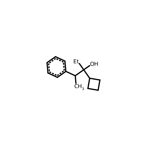 CCC(O)(C1CCC1)C(C)c1ccccc1